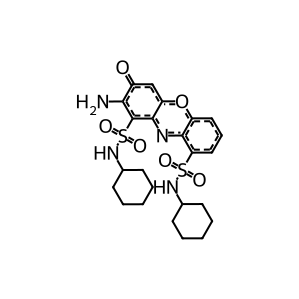 Nc1c(S(=O)(=O)NC2CCCCC2)c2nc3c(S(=O)(=O)NC4CCCCC4)cccc3oc-2cc1=O